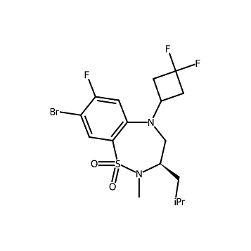 CC(C)C[C@@H]1CN(C2CC(F)(F)C2)c2cc(F)c(Br)cc2S(=O)(=O)N1C